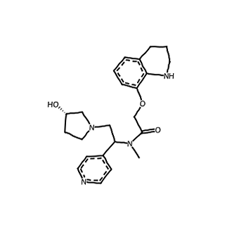 CN(C(=O)COc1cccc2c1NCCC2)C(CN1CC[C@H](O)C1)c1ccncc1